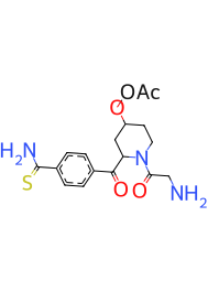 CC(=O)OOC1CCN(C(=O)CN)C(C(=O)c2ccc(C(N)=S)cc2)C1